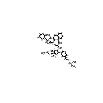 CSCC(C)(C)c1cc(NC(=O)NCc2ccccc2Sc2ccc3nnc(-c4cc(F)ccc4O)n3c2)n(-c2cccc(OCCN(C)C)c2)n1